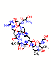 CC(C)C[C@H](NC(=O)[C@H](Cc1c[nH]cn1)NC(=O)[C@H](CO)NC(=O)[C@H](C)NC(=O)[C@H](CCCNC(=N)N)NC(=O)[C@@H]1CCCN1C(=O)[C@H](CC(=O)O)NC(=O)[C@@H](N)CO)C(=O)N[C@H](C(=O)NCC(=O)O)[C@@H](C)O